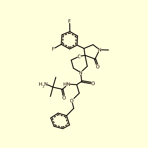 CN1CC(c2cc(F)cc(F)c2)C2(CCCN(C(=O)C(COCc3ccccc3)NC(=O)C(C)(C)N)C2)C1=O